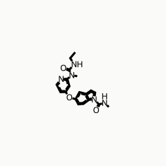 CCNC(=O)N(C)c1cc(Oc2ccc3c(ccn3C(=O)NC)c2)ccn1